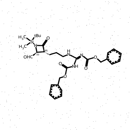 CC(C)(C)[Si](C)(C)N1C(=O)[C@H](CCCNC(=NC(=O)OCc2ccccc2)NC(=O)OCc2ccccc2)[C@H]1C=O